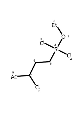 CCO[Si](Cl)(Cl)CCC(Cl)C(C)=O